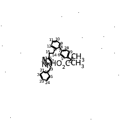 CC(C)(C(=O)O)c1ccc(-c2ccccc2CCc2cn(Cc3ccccc3)nn2)cc1